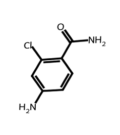 NC(=O)c1ccc(N)cc1Cl